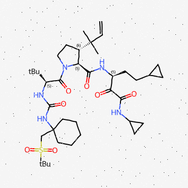 C=CC(C)(C)[C@H]1CCN(C(=O)[C@@H](NC(=O)NC2(CS(=O)(=O)C(C)(C)C)CCCCC2)C(C)(C)C)[C@@H]1C(=O)N[C@@H](CCC1CC1)C(=O)C(=O)NC1CC1